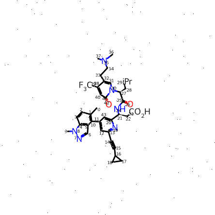 Cc1ccc2c(cnn2C)c1-c1cc(C#CC2CC2)nc([C@H](CC(=O)O)NC(=O)[C@H](CC(C)C)n2cc(CCN(C)C)c(C(F)(F)F)cc2=O)c1